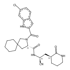 N#C[C@H](C[C@@H]1CCCNC1=O)NC(=O)[C@@H]1CC2(CCCCC2)CN1C(=O)c1cc2ccc(Cl)cc2[nH]1